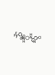 O=S(=O)(N[C@H]1CC[C@@H](Nc2ccnc3cc(Cl)ccc23)CC1)c1cccc(C(F)(F)F)c1